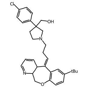 CC(C)(C)c1ccc2c(c1)/C(=C/CCN1CCC(CO)(c3ccc(Cl)cc3)C1)C1C=CC=NC1CO2